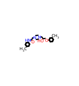 Cc1ccc(NC(=O)CN2CCN(CC(O)COc3cccc(C)c3)CC2)cc1